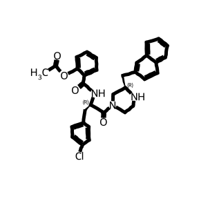 CC(=O)Oc1ccccc1C(=O)N[C@H](Cc1ccc(Cl)cc1)C(=O)N1CCN[C@H](Cc2ccc3ccccc3c2)C1